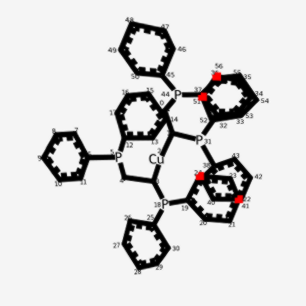 [CH]([CH]([Cu][CH]([CH]P(c1ccccc1)c1ccccc1)P(c1ccccc1)c1ccccc1)P(c1ccccc1)c1ccccc1)P(c1ccccc1)c1ccccc1